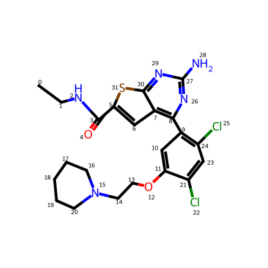 CCNC(=O)c1cc2c(-c3cc(OCCN4CCCCC4)c(Cl)cc3Cl)nc(N)nc2s1